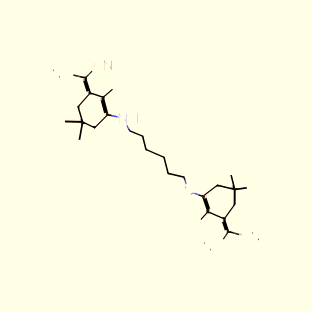 CC1=C(NCCCCCCNC2=C(C)C(=C(C#N)C#N)CC(C)(C)C2)CC(C)(C)CC1=C(C#N)C#N